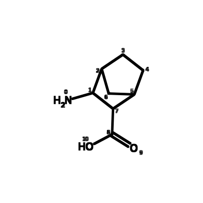 NC1C2CCC(C2)C1C(=O)O